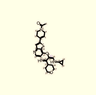 CC(=O)N1CC=C(c2cc3nccc(O/C(=C/NC4CC4)C(=N)C4CCOCC4)c3s2)CC1